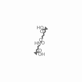 O=C(NCCCCC1(C(=O)O)CC1)OCCCCCC1(C(=O)O)CC1